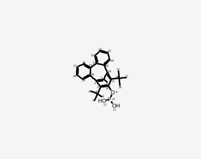 Cc1c2c(C(C)(C)C)c(OP(O)O)c(C(C)(C)C)c1-c1ccccc1-c1ccccc1-2